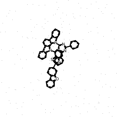 c1ccc(-c2nc(-c3ccccc3)nc(-n3c4ccccc4c4ccc5c6ccccc6n(-c6cccc7nc(-c8ccc9c(c8)oc8ccccc89)sc67)c5c43)n2)cc1